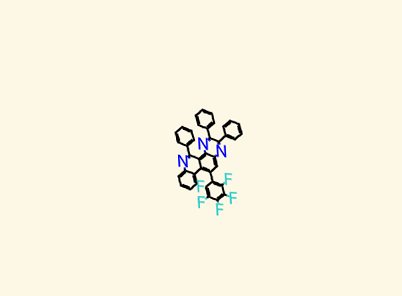 Fc1c(F)c(F)c(-c2cc3nc(-c4ccccc4)c(-c4ccccc4)nc3c3c(-c4ccccc4)nc4ccccc4c23)c(F)c1F